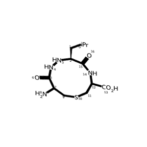 CC(C)C[C@@H]1NNC(=O)C(N)CSCC(C(=O)O)NC1=O